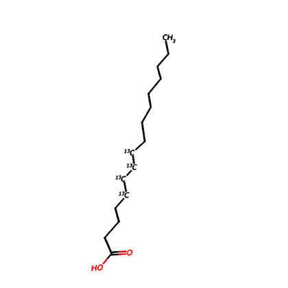 CCCCCCCC[13CH2][13CH2][13CH2][13CH2]CCCC(=O)O